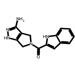 Nc1n[nH]c2c1CN(C(=O)c1cc3ccccc3[nH]1)C2